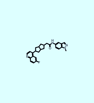 Cn1ncc2cc(NC(=O)CC3CC4CC(c5ccnc6ccc(F)cc56)CC4C3)ccc21